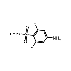 CCCCCCS(=O)(=O)c1c(F)cc(N)cc1F